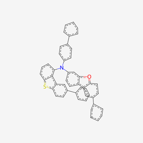 c1ccc(-c2ccc(N(c3ccc4c(c3)oc3ccc(-c5ccccc5)cc34)c3cccc4sc5ccc(-c6ccccc6)cc5c34)cc2)cc1